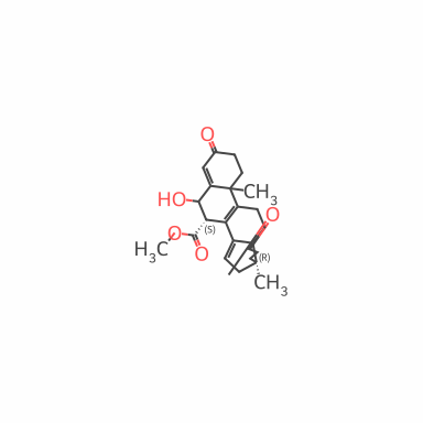 COC(=O)[C@H]1C2=C(CCC34C(=O)CC[C@]3(C)CC=C24)C2(C)CCC(=O)C=C2C1O